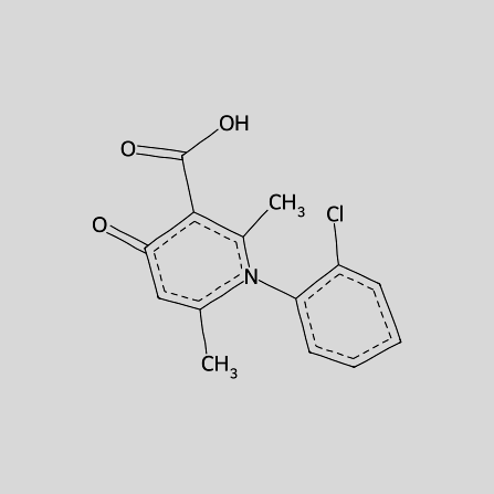 Cc1cc(=O)c(C(=O)O)c(C)n1-c1ccccc1Cl